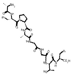 CC(C)C[C@H](NC(=O)[C@@H](NC(=O)CNC(=O)CNC(=O)[C@H](C)NC(=O)[C@@H]1CCCN1C(=O)[C@H](CC(C)C)NC(=O)[C@H](C)N)[C@@H](C)O)C(=O)O